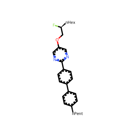 CCCCCC[C@H](F)COc1cnc(-c2ccc(-c3ccc(CCCCC)cc3)cc2)nc1